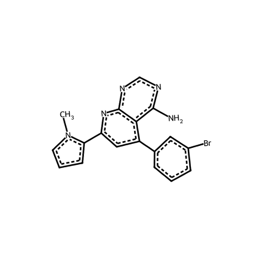 Cn1cccc1-c1cc(-c2cccc(Br)c2)c2c(N)ncnc2n1